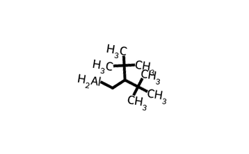 CC(C)(C)C([CH2][AlH2])C(C)(C)C